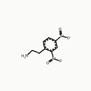 NCCc1ccc([N+](=O)[O-])cc1[N+](=O)[O-]